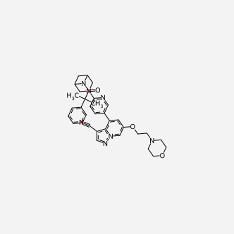 CC(C)(C(=O)N1C2CC1CN(c1ccc(-c3cc(OCCN4CCOCC4)cn4ncc(C#N)c34)cn1)C2)c1ccccc1